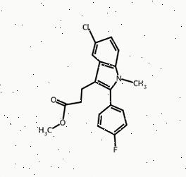 COC(=O)CCc1c(-c2ccc(F)cc2)n(C)c2ccc(Cl)cc12